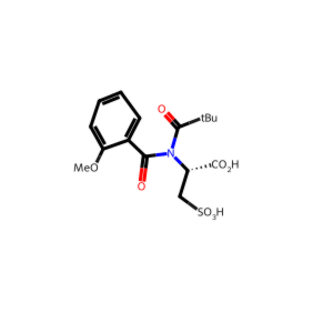 COc1ccccc1C(=O)N(C(=O)C(C)(C)C)[C@@H](CS(=O)(=O)O)C(=O)O